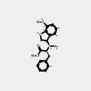 COC(=O)[C@H](Cc1ccccc1)N(C(C)=O)C1COc2c(OC)cccc21